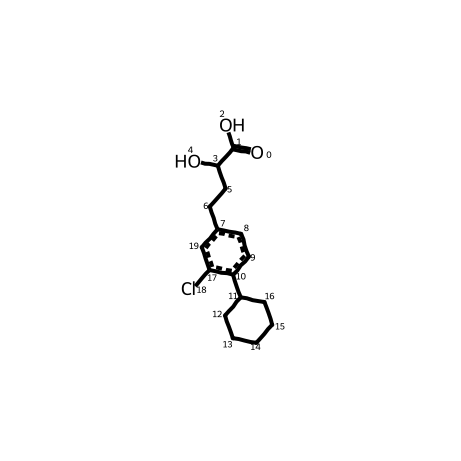 O=C(O)C(O)CCc1ccc(C2CCCCC2)c(Cl)c1